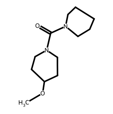 COC1CCN(C(=O)N2CCCCC2)CC1